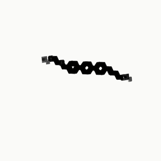 C=CCOCc1ccc(C2CCC(C3CCC(C=CCCC)CC3)CC2)cc1